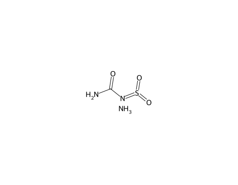 N.NC(=O)N=S(=O)=O